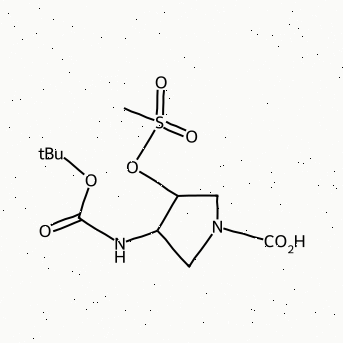 CC(C)(C)OC(=O)NC1CN(C(=O)O)CC1OS(C)(=O)=O